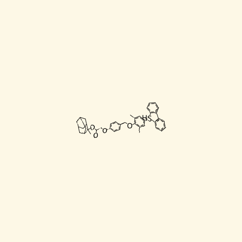 Cc1cc([SH]2c3ccccc3-c3ccccc32)cc(C)c1OCc1ccc(OCC(=O)OC2(C)C3CC4CC(C3)CC2C4)cc1